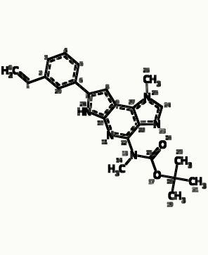 C=Cc1cccc(-c2cc3c(nc(N(C)C(=O)OC(C)(C)C)c4ncn(C)c43)[nH]2)c1